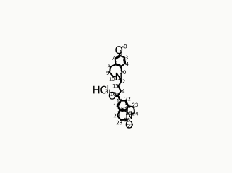 COc1ccc2c(c1)CCCN(CCCC(=O)c1cc3c4c(c1)CCN4C(=O)CC3)C2.Cl